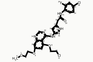 COCCOc1cc(OCCCl)c2c(Nc3cc(CC(=O)Nc4ccc(Cl)cc4F)[nH]n3)ncnc2c1